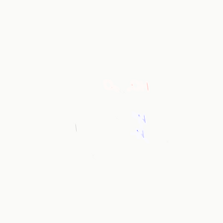 CCn1nc(C(=O)O)cc1CC(C)C